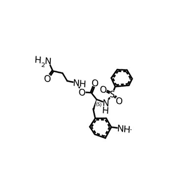 [NH]c1cccc(C[C@H](NS(=O)(=O)c2ccccc2)C(=O)ONCCC(N)=O)c1